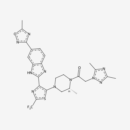 Cc1nc(C)n(CC(=O)N2CCN(c3sc(C(F)(F)F)nc3-c3nc4ccc(-c5noc(C)n5)cc4[nH]3)C[C@H]2C)n1